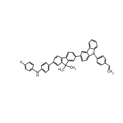 C=Cc1ccc(-n2c3ccccc3c3cc(-c4ccc5c(c4)C(C)(C)c4cc(-c6ccc(Nc7ccc(F)cc7)cc6)ccc4-5)ccc32)cc1